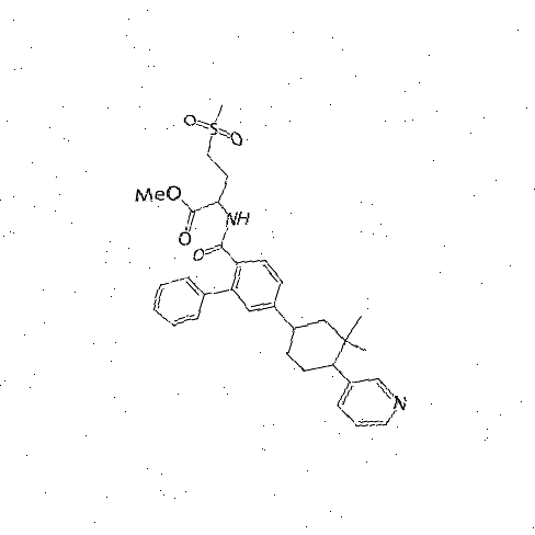 COC(=O)C(CCS(C)(=O)=O)NC(=O)c1ccc(C2CCC(c3cccnc3)C(C)(C)C2)cc1-c1ccccc1